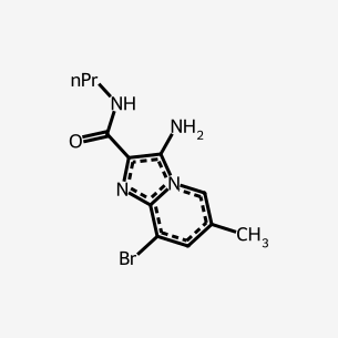 CCCNC(=O)c1nc2c(Br)cc(C)cn2c1N